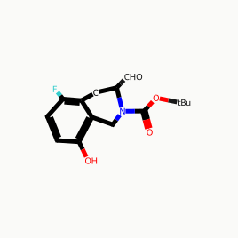 CC(C)(C)OC(=O)N1Cc2c(O)ccc(F)c2CC1C=O